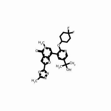 Cc1nnc(-c2cc3c(=O)n(C)cc(-c4cc(C(C)(C)O)cnc4OC4CCC(F)(F)CC4)c3o2)o1